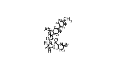 CC(=O)c1nn(CC(=O)N2[C@@H]3C[C@@H]3C[C@H]2C(=O)c2cccc(Br)n2)c2cnc(-c3cnc(C)nc3)cc12